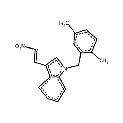 Cc1ccc(C)c(Cn2cc(C=C[N+](=O)[O-])c3ccccc32)c1